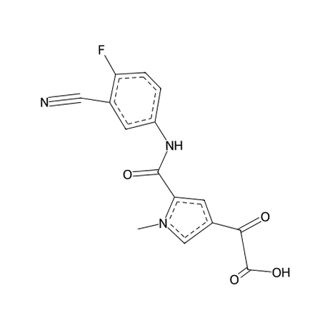 Cn1cc(C(=O)C(=O)O)cc1C(=O)Nc1ccc(F)c(C#N)c1